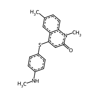 CNc1ccc(Sc2cc(=O)n(C)c3ccc(C)cc23)cc1